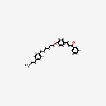 CC=Cc1ccc(CCCCCCOc2ccc(C=CC(=O)c3ccccc3)cc2)cc1